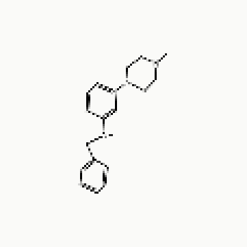 CN1CCN(c2cc[c]c(NCc3ccccc3)c2)CC1